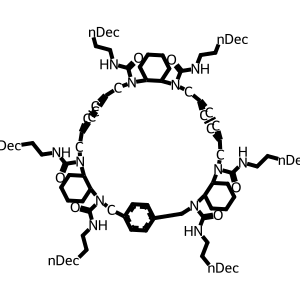 CCCCCCCCCCCCNC(=O)N1Cc2ccc(cc2)CN(C(=O)NCCCCCCCCCCCC)C2CCCCC2N(C(=O)NCCCCCCCCCCCC)Cc2ccc(cc2)CN(C(=O)NCCCCCCCCCCCC)C2CCCCC2N(C(=O)NCCCCCCCCCCCC)Cc2ccc(cc2)CN(C(=O)NCCCCCCCCCCCC)C2CCCCC21